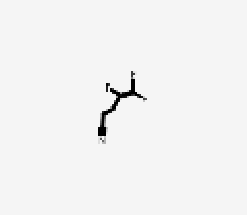 N#CCCC(F)=C(F)F